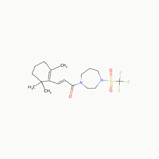 CC1=C(/C=C/C(=O)N2CCCN(S(=O)(=O)C(F)(F)F)CC2)C(C)(C)CCC1